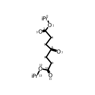 CC(C)OC(=O)CCC(=O)CCC(=O)OC(C)C